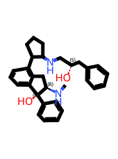 CN[C@@H]1Cc2c(C3CCCC3NC[C@@H](O)Cc3ccccc3)cccc2[C@]1(O)c1ccccc1